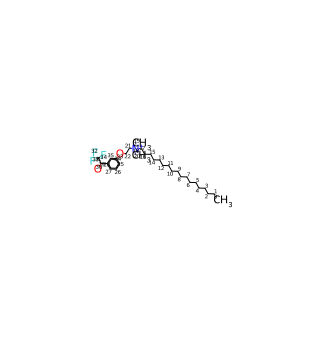 CCCCCCCCCCCCCCCCCC[N+](C)(C)CCOc1cccc(C(=O)C(F)(F)F)c1